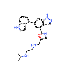 CC(C)NCCNCc1cnc(-c2cc(-c3cccc4[nH]ccc34)cc3[nH]ncc23)o1